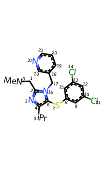 CNCc1nc(C(C)C)c(Sc2cc(Cl)cc(Cl)c2)n1Cc1cccnc1